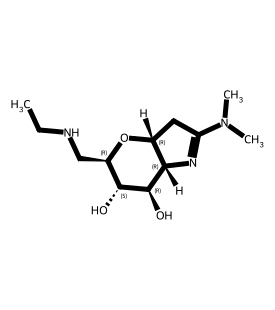 CCNC[C@H]1O[C@@H]2CC(N(C)C)=N[C@@H]2[C@@H](O)[C@@H]1O